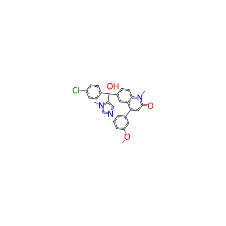 COc1cccc(-c2cc(=O)n(C)c3ccc([C@](O)(c4ccc(Cl)cc4)c4cncn4C)cc23)c1